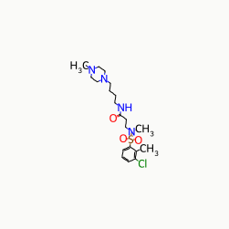 Cc1c(Cl)cccc1S(=O)(=O)N(C)CCC(=O)NCCCCN1CCN(C)CC1